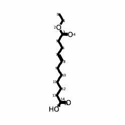 CCOC(=O)CCC=CCCCCCC(=O)O